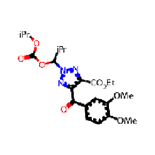 CCOC(=O)c1nn(C(OC(=O)OC(C)C)C(C)C)nc1C(=O)c1ccc(OC)c(OC)c1